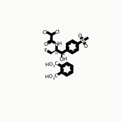 CS(=O)(=O)c1ccc([C@@H](O)[C@@H](CF)NC(=O)C(Cl)Cl)cc1.O=C(O)c1ccccc1C(=O)O